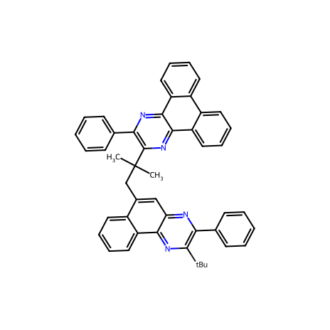 CC(C)(C)c1nc2c(cc(CC(C)(C)c3nc4c5ccccc5c5ccccc5c4nc3-c3ccccc3)c3ccccc32)nc1-c1ccccc1